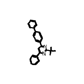 CC(C)(C)c1nc(-c2ccccc2)cc(-c2ccc(-c3ccccc3)cc2)n1